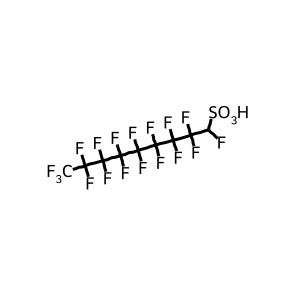 O=S(=O)(O)C(F)C(F)(F)C(F)(F)C(F)(F)C(F)(F)C(F)(F)C(F)(F)C(F)(F)C(F)(F)F